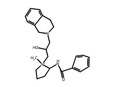 C[N+]1(CC(O)CN2CCc3ccccc3C2)CCCC1NC(=O)c1ccccc1